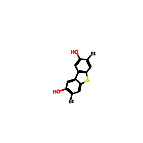 CCc1cc2sc3cc(CC)c(O)cc3c2cc1O